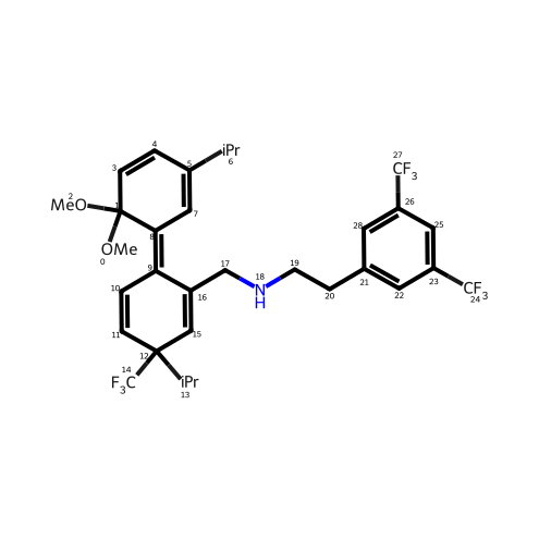 COC1(OC)C=CC(C(C)C)=CC1=C1C=CC(C(C)C)(C(F)(F)F)C=C1CNCCc1cc(C(F)(F)F)cc(C(F)(F)F)c1